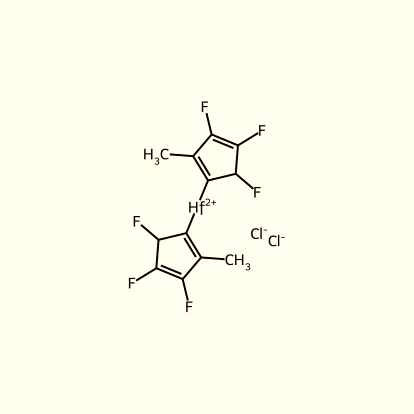 CC1=[C]([Hf+2][C]2=C(C)C(F)=C(F)C2F)C(F)C(F)=C1F.[Cl-].[Cl-]